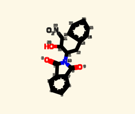 O=C1c2ccccc2C(=O)N1C(Cc1ccccc1)C(O)C[N+](=O)[O-]